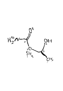 CC(O)OC(N)=O.[SiH4]